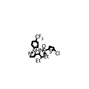 CCC(CC)C(NS(=O)(=O)c1ccc(Cl)s1)c1ccnn1-c1ccc(C(F)(F)F)cc1